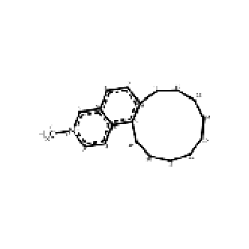 C[n+]1ccc2c3c(ccc2c1)CCCCCCCCC3